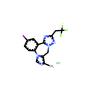 Cc1ncn2c1Cn1nc(CC(F)(F)F)nc1-c1cc(I)ccc1-2.Cl